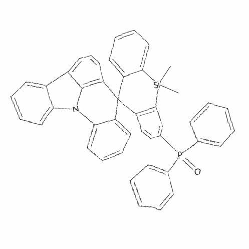 C[Si]1(C)c2ccccc2C2(c3ccccc3-n3c4ccccc4c4cccc2c43)c2ccc(P(=O)(c3ccccc3)c3ccccc3)cc21